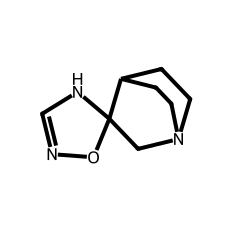 C1=NOC2(CN3CCC2CC3)N1